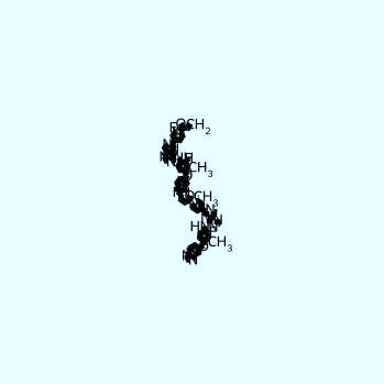 C=CC(=O)N1CC=C(c2ncc3ncnc(Nc4ccc(Oc5ccn6nc(/C=C\C(=O)N7CCC(c8ncc9ncnc(Nc%10ccc(Oc%11ccn%12ncnc%12c%11)c(C)c%10F)c9n8)=C[C@H]7C)nc6c5)c(C)c4F)c3n2)C[C@H]1F